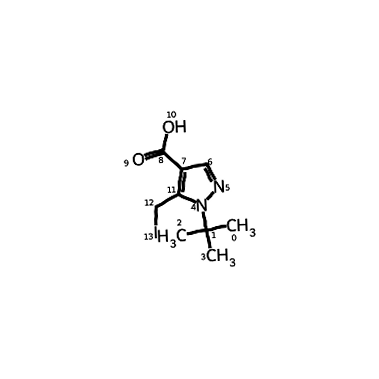 CC(C)(C)n1ncc(C(=O)O)c1CI